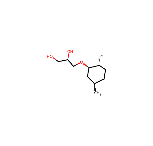 CC(C)[C@@H]1CC[C@@H](C)C[C@H]1OC[C@H](O)CO